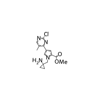 COC(=O)c1cc(-c2nc(Cl)ncc2C)cn1CC1(N)CC1